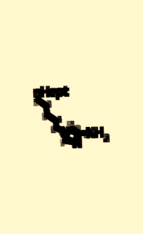 CCCCCCCCCCCCn1cnc(N)c1